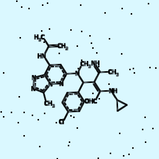 C=C(C)Nc1cc(N(C)C(/C(C(C)=N)=C(\C=O)NC2CC2)c2ccc(Cl)cc2)nn2c(C)nnc12